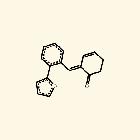 O=C1CCC=C/C1=C\c1ccccc1-c1ccco1